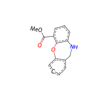 COC(=O)c1cccc2c1Oc1ccccc1CN2